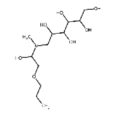 CCCOCC(O)N(C)CC(O)C(O)C(O)C(O)CO